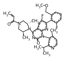 C=CC(=O)N1C[C@H](C)N(c2nc(=O)n(-c3c(C)ccnc3C(C)C)c3nc(-c4c(F)cccc4COC)c(F)cc23)[C@@H](C)C1